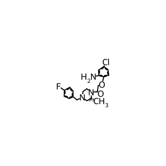 C[C@@H]1CN(Cc2ccc(F)cc2)CCN1C(=O)COc1ccc(Cl)cc1N